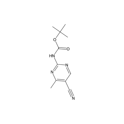 Cc1nc(NC(=O)OC(C)(C)C)ncc1C#N